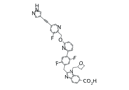 O=C(O)c1ccc2nc(Cc3cc(F)c(-c4cccc(OCc5ncc(C#Cc6cn[nH]c6)cc5F)n4)cc3F)n(CC3CCO3)c2c1